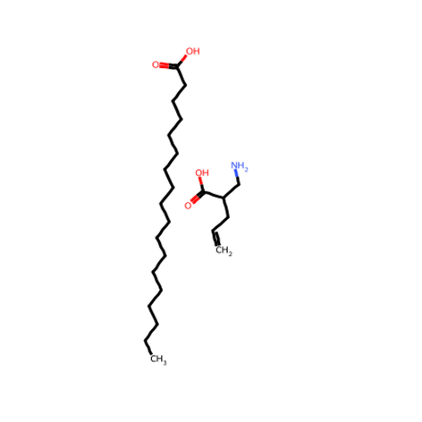 C=CCC(CN)C(=O)O.CCCCCCCCCCCCCCCCCC(=O)O